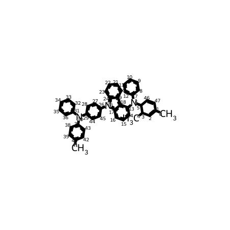 CC1=CC(C)C(N(c2ccccc2)c2cccc3c2c2ccccc2n3-c2ccc(N(c3ccccc3)c3ccc(C)cc3)cc2)C=C1